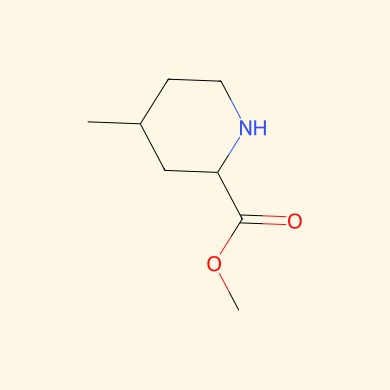 COC(=O)C1CC(C)CCN1